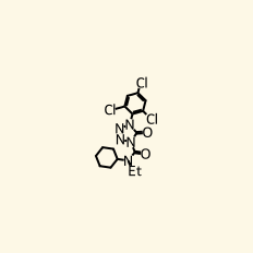 CCN(C(=O)n1nnn(-c2c(Cl)cc(Cl)cc2Cl)c1=O)C1CCCCC1